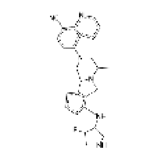 CC1CN(c2ccc(C#N)c3ncccc23)CC2c3cccc(NC4CNCC4F)c3CN12